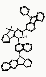 CC1(C)C2=C(C(c3ccc(N4c5cc6ccccc6cc5C5C=CC=CC54)c4ccccc34)NC(c3ccc4c5ccccc5n(-c5ccccc5)c4c3)=N2)C2C=CC=CC21